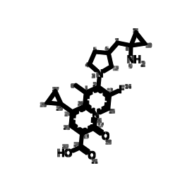 Cc1c(N2CCC(CC3(N)CC3)C2)c(F)cn2c(=O)c(C(=O)O)cc(C3CC3)c12